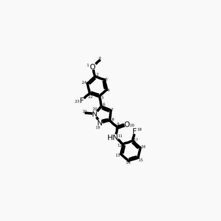 COc1ccc(-c2cc(C(=O)Nc3ccccc3F)nn2C)c(F)c1